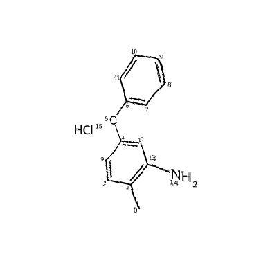 Cc1ccc(Oc2ccccc2)cc1N.Cl